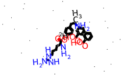 CC(N)Cc1ccccc1.O=C(O)c1ccccc1.O=C(O)c1ccccc1.[2H]OC(=O)C(N)CCCCNC(=N)N